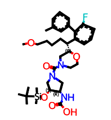 COCCCCC(c1cccc(F)c1-c1cccc(C)c1)[C@H]1CN(C(=O)N2C[C@H](O[Si](C)(C)C(C)(C)C)[C@H](NC(=O)O)C2)CCO1